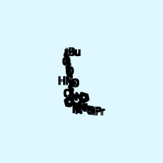 CC(C)OCC(C)(C)n1nnc2c1-c1ccccc1CN(C(=O)CCC(=O)NCCOCCOCCC(C)(C)C)c1ccccc1-2